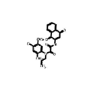 C=CCN(C(=O)C(=O)NC1=CC(=O)c2ccccc2C1=O)c1cc(OC)c(Cl)cc1OC